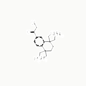 CCC1(CC)CCC(CC)(CC)c2cc(C(=O)CCl)ccc21